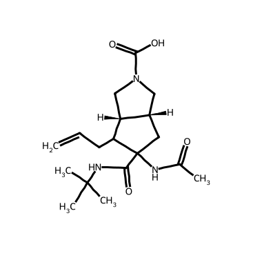 C=CCC1[C@@H]2CN(C(=O)O)C[C@@H]2CC1(NC(C)=O)C(=O)NC(C)(C)C